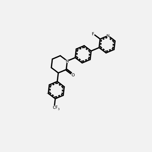 O=C1C(c2c[c]c(C(F)(F)F)cc2)CCCN1c1ccc(-c2cccnc2F)cc1